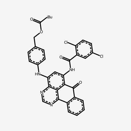 CCC(C)C(=O)OCc1ccc(Nc2cc(NC(=O)c3cc(Cl)ccc3Cl)c3c4c(ncnc24)-c2ccccc2C3=O)cc1